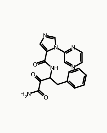 NC(=O)C(=O)C(Cc1ccccc1)NC(=O)c1cncn1-c1cnccn1